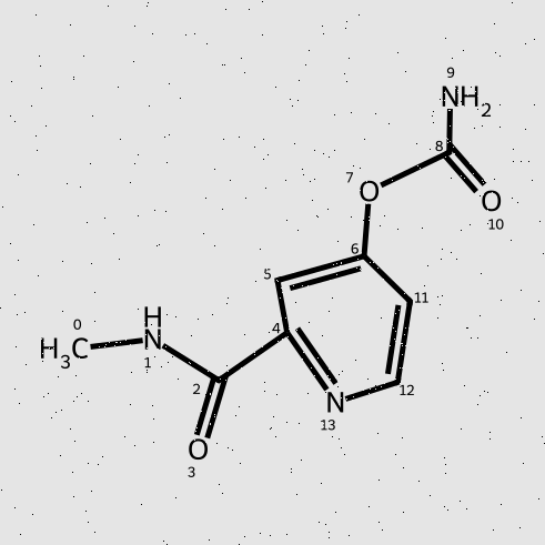 CNC(=O)c1cc(OC(N)=O)ccn1